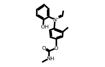 CC=[N+](c1ccc(OC(=O)NC)cc1C)c1ccccc1O